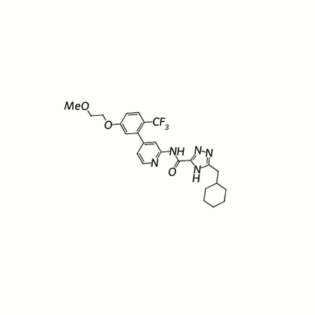 COCCOc1ccc(C(F)(F)F)c(-c2ccnc(NC(=O)c3nnc(CC4CCCCC4)[nH]3)c2)c1